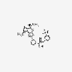 CNc1nc2sc(-c3cccc(C(C)NCc4cccc(C(F)(F)F)c4)c3)nc2c2c1ncn2C